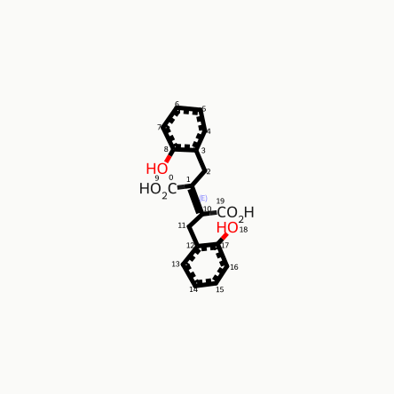 O=C(O)/C(Cc1ccccc1O)=C(\Cc1ccccc1O)C(=O)O